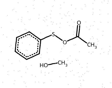 CC(=O)OSc1ccccc1.CO